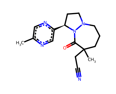 Cc1cnc([C@H]2CCN3CCCC(C)(CC#N)C(=O)N23)cn1